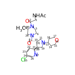 CC(=O)NCC(=O)N1CCN(C(=O)[C@@H]2CN(C3CCOCC3)C[C@H]2c2ccc(Cl)cn2)CC1C